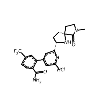 Cc1cc(-c2cc(C(F)(F)F)ccc2C(N)=O)cc([C@@H]2CC[C@@]3(CCN(C)C3=O)N2)n1.Cl